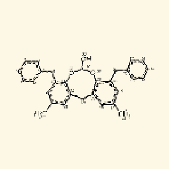 Cc1cc(Cc2ccccc2)c2c(c1)Cc1cc(C)cc(Cc3ccccc3)c1OP(O)O2